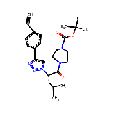 C#Cc1ccc(-c2cn([C@@H](CC(C)C)C(=O)N3CCN(C(=O)OC(C)(C)C)CC3)nn2)cc1